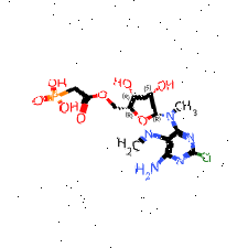 C=Nc1c(N)nc(Cl)nc1N(C)[C@@H]1O[C@H](COC(=O)CP(=O)(O)O)[C@H](O)[C@@H]1O